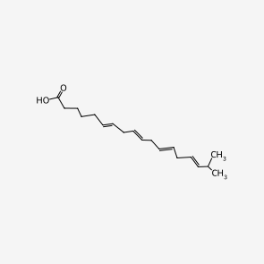 CC(C)C=CCC=CCC=CCC=CCCCCC(=O)O